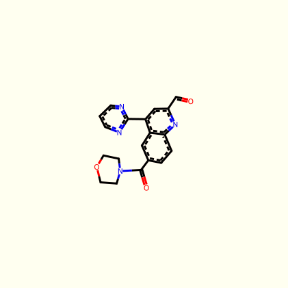 O=Cc1cc(-c2ncccn2)c2cc(C(=O)N3CCOCC3)ccc2n1